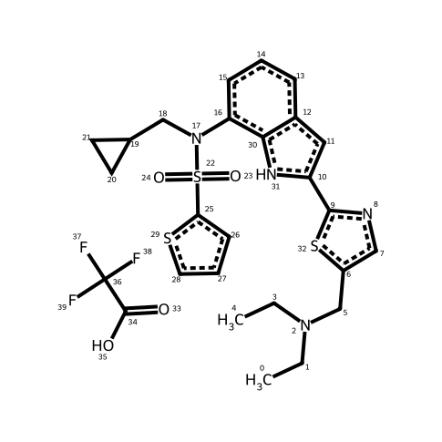 CCN(CC)Cc1cnc(-c2cc3cccc(N(CC4CC4)S(=O)(=O)c4cccs4)c3[nH]2)s1.O=C(O)C(F)(F)F